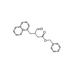 O=CC(CC(=O)OCc1ccccc1)Cc1cccc2ccccc12